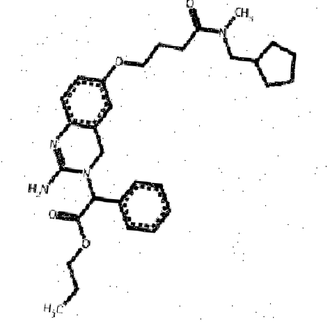 CCCOC(=O)C(c1ccccc1)N1Cc2cc(OCCCC(=O)N(C)CC3CCCC3)ccc2N=C1N